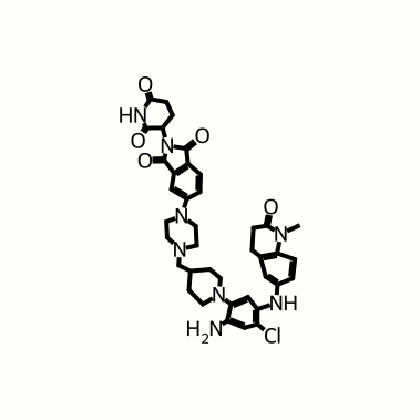 CN1C(=O)CCc2cc(Nc3cc(N4CCC(CN5CCN(c6ccc7c(c6)C(=O)N(C6CCC(=O)NC6=O)C7=O)CC5)CC4)c(N)cc3Cl)ccc21